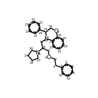 c1ccc(CCOCC(CN2c3ccccc3OCC2c2ccccc2)N2CCCC2)cc1